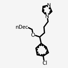 CCCCCCCCCCCOC(CCCn1ccnc1)c1ccc(Cl)cc1